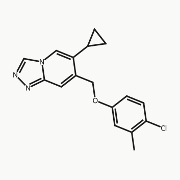 Cc1cc(OCc2cc3nncn3cc2C2CC2)ccc1Cl